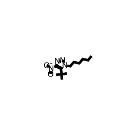 CCCCCCn1nnc([N+](=O)[O-])c1C(C)(C)C